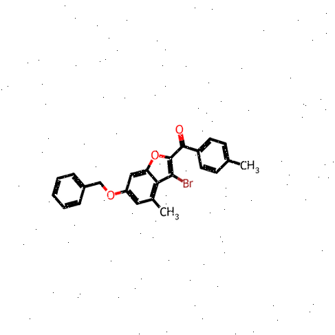 Cc1ccc(C(=O)c2oc3cc(OCc4ccccc4)cc(C)c3c2Br)cc1